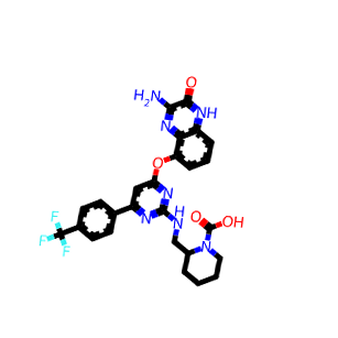 Nc1nc2c(Oc3cc(-c4ccc(C(F)(F)F)cc4)nc(NCC4CCCCN4C(=O)O)n3)cccc2[nH]c1=O